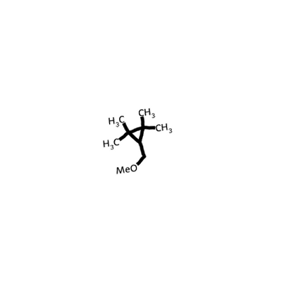 COCC1C(C)(C)C1(C)C